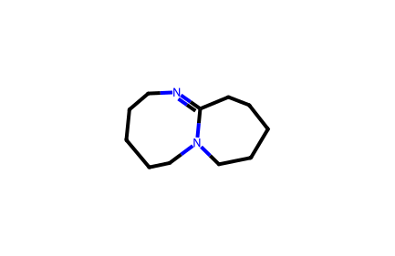 C1CC/N=C2/CCCCCN2CC1